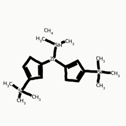 C.C[SiH](C)[Zr]([C]1=CC([Si](C)(C)C)=CC1)[C]1=CC([Si](C)(C)C)=CC1